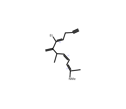 C#CC/C=C(\CC)C(=C)C(C)/C=C\C=C(/C)NC